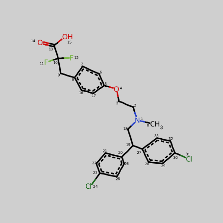 CN(CCOc1ccc(CC(F)(F)C(=O)O)cc1)CC(c1ccc(Cl)cc1)c1ccc(Cl)cc1